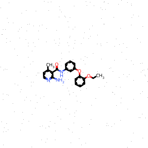 CCOc1ccccc1Oc1cccc(NC(=O)c2c(C)ccnc2N)c1